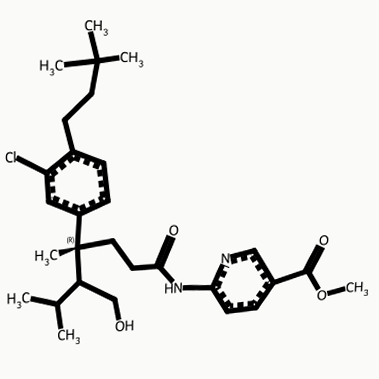 COC(=O)c1ccc(NC(=O)CC[C@@](C)(c2ccc(CCC(C)(C)C)c(Cl)c2)C(CO)C(C)C)nc1